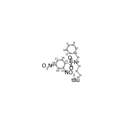 CC(C)(C)CCCN(Cc1ccccc1)S(=O)(=O)c1ccc([N+](=O)[O-])cc1[N+](=O)[O-]